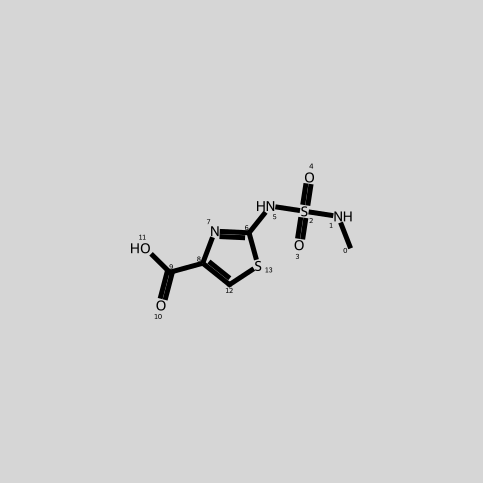 CNS(=O)(=O)Nc1nc(C(=O)O)cs1